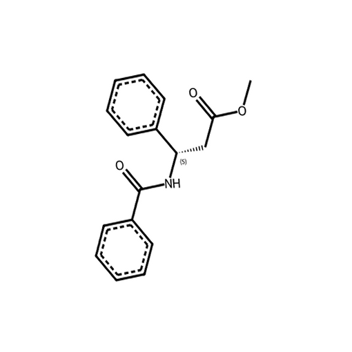 COC(=O)C[C@H](NC(=O)c1ccccc1)c1ccccc1